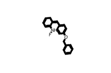 FNC1=CC=CCC1=Cc1ccc(OCc2ccccc2)cc1